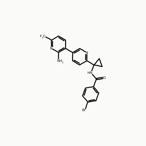 Nc1nc(C(F)(F)F)ccc1-c1ccc(C2(NC(=O)c3ccc(Br)cc3)CC2)nc1